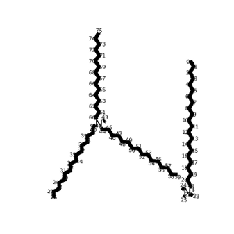 CCCCCCCCCCCCCCCCCCCCCC[N+](C)(C)C.CCCCCCCCCCCCCCCC[N+](C)(CCCCCCCCCCCCCCCC)CCCCCCCCCCCCCCCC